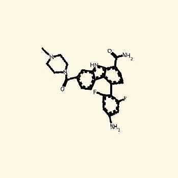 CN1CCN(C(=O)c2ccc3c(c2)[nH]c2c(C(N)=O)ccc(-c4c(F)cc(N)cc4F)c23)CC1